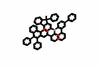 CC1(c2ccccc2)c2ccccc2-c2ccc(N(c3ccccc3-c3ccc4c(c3)c(-c3ccccc3)c(-c3ccccc3)c3ccccc34)c3ccc(-c4ccccc4)cc3-c3ccccc3)cc21